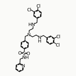 O=S(=O)(NCc1ccccn1)c1ccc(CN(CCNCc2ccc(Cl)c(Cl)c2)CCNCc2ccc(Cl)c(Cl)c2)cc1